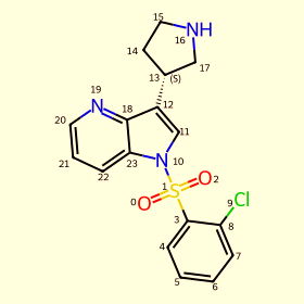 O=S(=O)(c1ccccc1Cl)n1cc([C@@H]2CCNC2)c2ncccc21